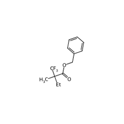 CCC(C)(C(=O)OCc1ccccc1)C(F)(F)F